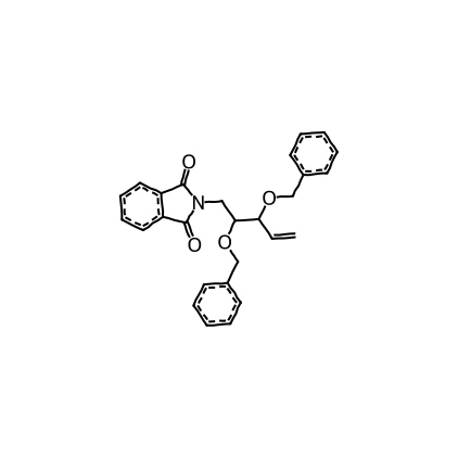 C=CC(OCc1ccccc1)C(CN1C(=O)c2ccccc2C1=O)OCc1ccccc1